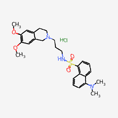 COc1cc2c(cc1OC)CN(CCCNS(=O)(=O)c1cccc3c(N(C)C)cccc13)CC2.Cl